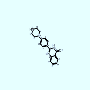 O=c1[nH]c(-c2ccc(N3CCNCC3)cc2)nc2ccccc12